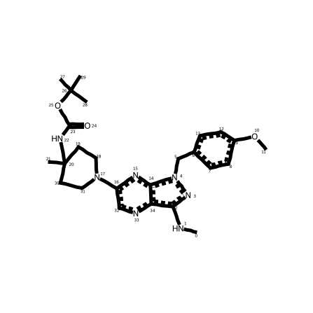 CNc1nn(Cc2ccc(OC)cc2)c2nc(N3CCC(C)(NC(=O)OC(C)(C)C)CC3)cnc12